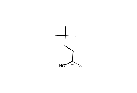 C[C@H](O)CCC(C)(C)C